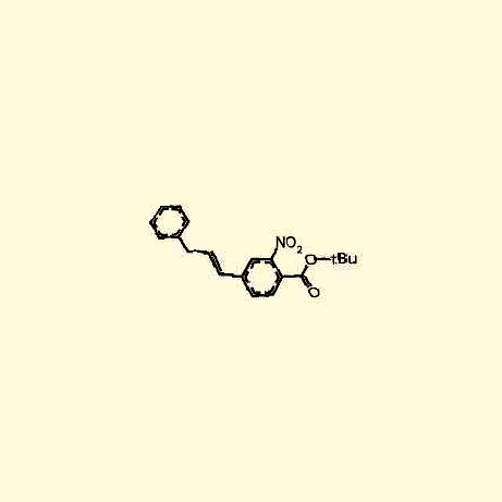 CC(C)(C)OC(=O)c1ccc(C=CCc2ccccc2)cc1[N+](=O)[O-]